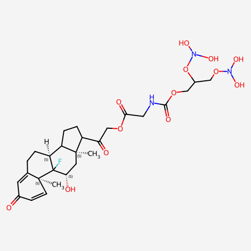 C[C@]12C[C@H](O)C3(F)[C@@H](CCC4=CC(=O)C=C[C@@]43C)C1CCC2C(=O)COC(=O)CNC(=O)OCC(CON(O)O)ON(O)O